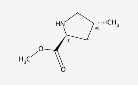 COC(=O)[C@@H]1C[C@@H](C)CN1